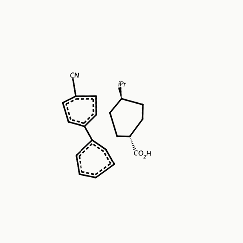 CC(C)[C@H]1CC[C@H](C(=O)O)CC1.N#Cc1ccc(-c2ccccc2)cc1